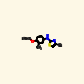 CCCCCOc1ccc(Nc2nc(CC)cs2)cc1C(F)(F)F